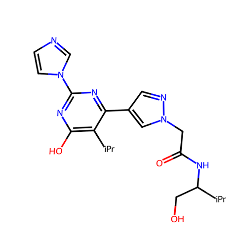 CC(C)c1c(O)nc(-n2ccnc2)nc1-c1cnn(CC(=O)NC(CO)C(C)C)c1